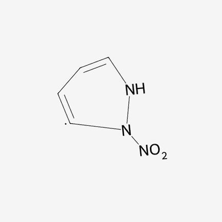 O=[N+]([O-])N1[C]=CC=CN1